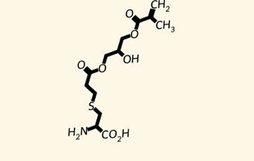 C=C(C)C(=O)OCC(O)COC(=O)CCSCC(N)C(=O)O